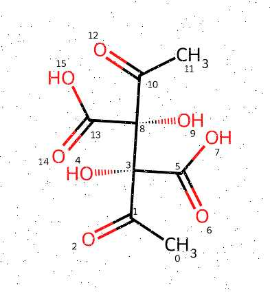 CC(=O)[C@](O)(C(=O)O)[C@](O)(C(C)=O)C(=O)O